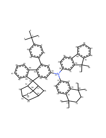 CC(C)(C)c1ccc(-c2cc(N(c3ccc4c(c3)C(C)(C)CCC4(C)C)c3ccc4c(c3)C(C)(C)c3ccccc3-4)cc3c2-c2ccccc2C32C3CC4CC5CC2C53C4)cc1